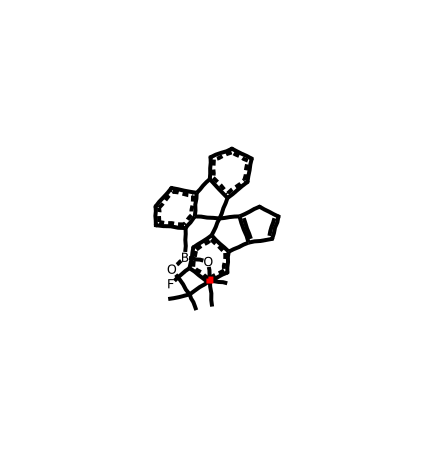 CC1(C)OB(c2cccc3c2C2(C4=C(C=CC4)c4ccc(F)cc42)c2ccccc2-3)OC1(C)C